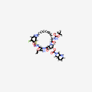 C=C[C@@H]1C[C@@]12NC(=O)[C@@H]1C[C@@H](OC(=O)N3Cc4cccnc4C3)CN1C(=O)[C@@H](NC(=O)OC(C)(C)C)CCCCCCCNc1ccc(F)cc1S(=O)(=O)NC2=O